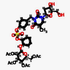 CC(=O)OC[C@H]1OC(Oc2ccccc2OS(=O)(=O)Oc2ccc(Cn3c(=O)c(C)cn([C@H]4CC(O)[C@@H](CO)O4)c3=O)cc2)[C@H](OC(C)=O)[C@@H](OC(C)=O)[C@H]1OC(C)=O